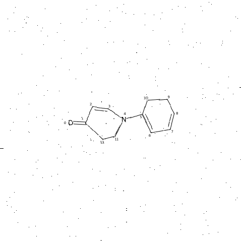 O=C1C=CN(C2=CC=CCC2)CC1